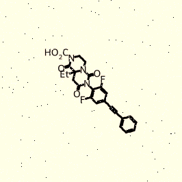 CCC12CC(=O)N(c3c(F)cc(C#Cc4ccccc4)cc3F)C(=O)N1CCN(C(=O)O)C2=O